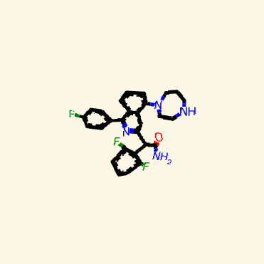 NC(=O)C(c1cc2c(N3CCCNCC3)cccc2c(-c2ccc(F)cc2)n1)c1c(F)cccc1F